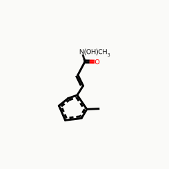 Cc1ccccc1/C=C/C(=O)N(C)O